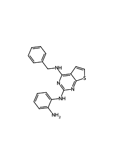 Nc1ccccc1Nc1nc(NCc2ccccc2)c2ccsc2n1